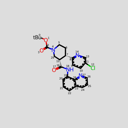 CC(C)(C)OC(=O)N1CC[C@H](c2ccc(Cl)cn2)[C@H](C(=O)Nc2cccc3cccnc23)C1